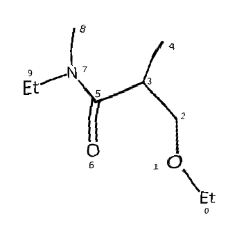 CCOCC(C)C(=O)N(C)CC